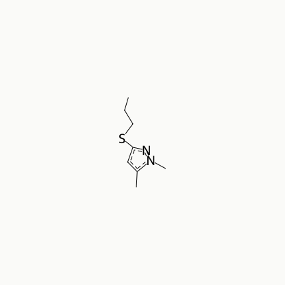 CCCSc1cc(C)n(C)n1